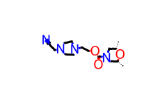 C[C@@H]1CN(C(=O)OCCN2CCN(CC#N)CC2)C[C@H](C)O1